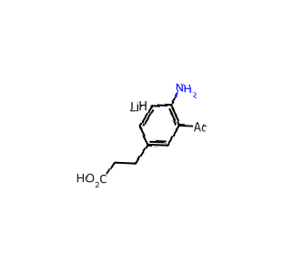 CC(=O)c1cc(CCC(=O)O)ccc1N.[LiH]